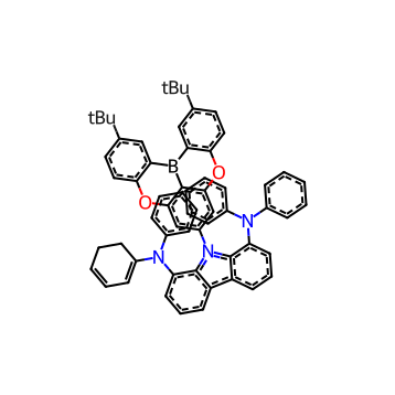 CC(C)(C)c1ccc2c(c1)B1c3cc(C(C)(C)C)ccc3Oc3cc(-n4c5c(N(C6=CC=CCC6)c6ccccc6)cccc5c5cccc(N(c6ccccc6)c6ccccc6)c54)cc(c31)O2